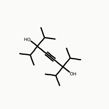 CC(C)C(O)(C#CC(O)(C(C)C)C(C)C)C(C)C